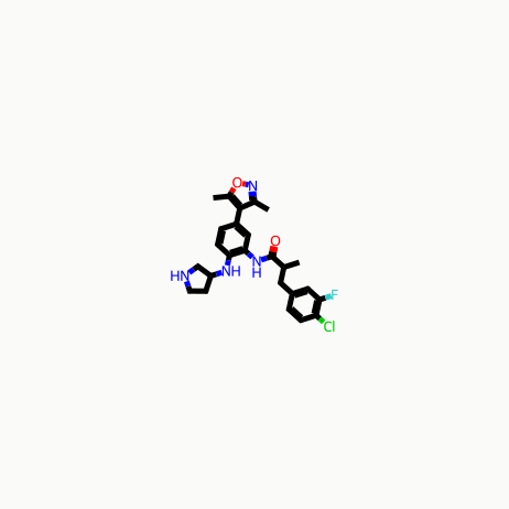 Cc1noc(C)c1-c1ccc(NC2CCNC2)c(NC(=O)C(C)Cc2ccc(Cl)c(F)c2)c1